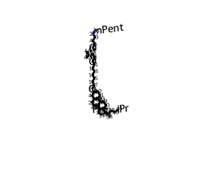 CCCCC/C=C\CCCOC[C@H](COCCCCCCCO[C@H]1CC[C@@]2(C)C(=CC[C@@H]3C2CC[C@@]2(C)C3CC[C@@H]2[C@H](C)CCC(C)C)C1)N(C)C